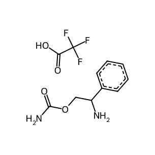 NC(=O)OCC(N)c1ccccc1.O=C(O)C(F)(F)F